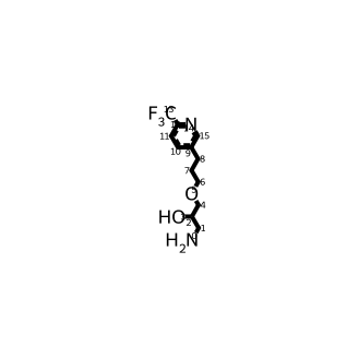 NCC(O)COCCCc1ccc(C(F)(F)F)nc1